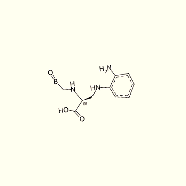 Nc1ccccc1NC[C@H](NCB=O)C(=O)O